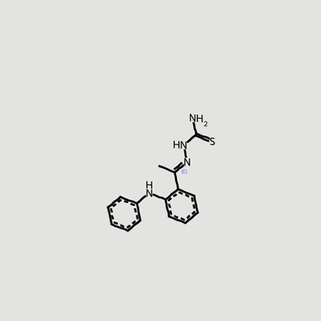 C/C(=N\NC(N)=S)c1ccccc1Nc1ccccc1